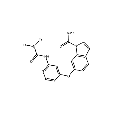 CCN(CC)C(=O)Nc1cc(Oc2ccc3ccn(C(=O)NC)c3c2)ccn1